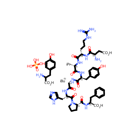 CC[C@H](C)[C@H](NC(=O)[C@H](Cc1ccc(O)cc1)NC(=O)[C@@H](NC(=O)[C@H](CCCNC(=N)N)NC(=O)[C@@H](N)CC(=O)O)C(C)C)C(=O)N[C@@H](Cc1cnc[nH]1)C(=O)N1CCC[C@H]1C(=O)N[C@@H](Cc1ccccc1)C(=O)O.NC(Cc1ccc(O)cc1)C(=O)O.O=P(O)(O)O